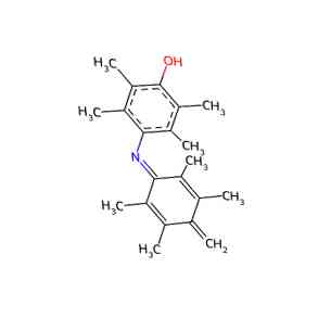 C=C1C(C)=C(C)C(=Nc2c(C)c(C)c(O)c(C)c2C)C(C)=C1C